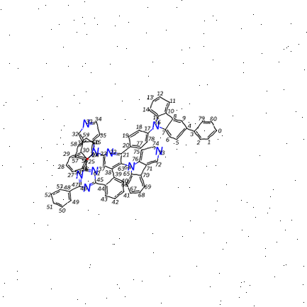 c1ccc(-c2ccc3c(c2)c2ccccc2n3-c2ccc(-c3nc(-n4c5ccccc5c5cnccc54)cc(-c4ccccc4-c4nc(-c5ccccc5)nc(-c5ccccc5)n4)c3-n3c4ccccc4c4cnccc43)cc2)cc1